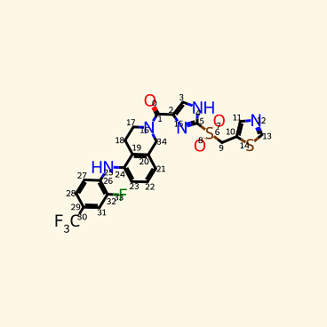 O=C(c1c[nH]c(S(=O)(=O)Cc2cncs2)n1)N1CCc2c(cccc2Nc2ccc(C(F)(F)F)cc2F)C1